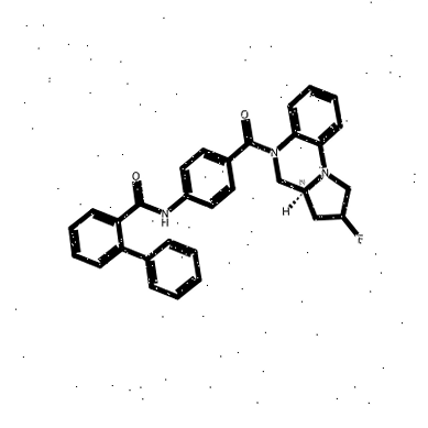 O=C(Nc1ccc(C(=O)N2C[C@@H]3CC(F)CN3c3ccccc32)cc1)c1ccccc1-c1ccccc1